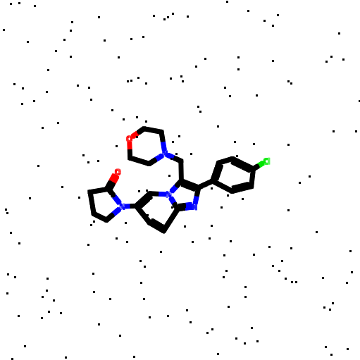 O=C1CCCN1c1ccc2nc(-c3ccc(Cl)cc3)c(CN3CCOCC3)n2c1